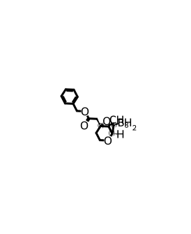 B[C@@H]1O[C@@]2(CC(=O)OCc3ccccc3)CCO[C@H]1C2C